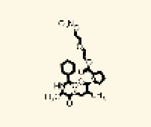 CC(CSC(=O)C(C)NC(=O)C1CCCCC1)C(=O)N1CCCC1C(=O)OCCOCCO[N+](=O)[O-]